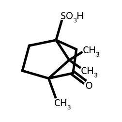 CC12CCC(S(=O)(=O)O)(CC1=O)C2(C)C